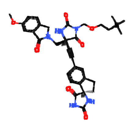 COc1ccc2c(c1)C(=O)N(C[C@@]1(C#Cc3ccc4c(c3)CC[C@@]43NC(=O)NC3=O)NC(=O)N(COCC[Si](C)(C)C)C1=O)C2